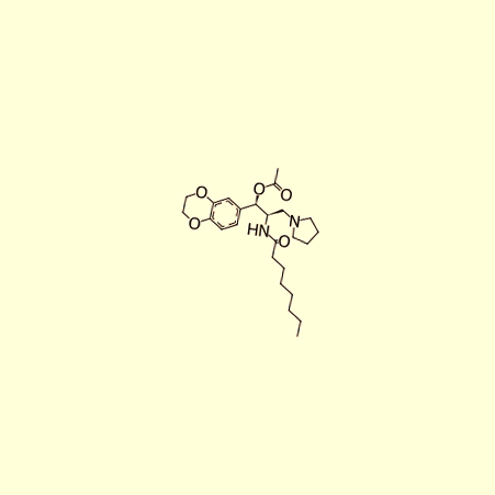 CCCCCCCC(=O)N[C@H](CN1CCCC1)[C@H](OC(C)=O)c1ccc2c(c1)OCCO2